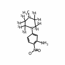 [2H]C1([2H])N(C)C([2H])([2H])C([2H])([2H])N(c2ccc([N+](=O)[O-])c(N)c2)C1([2H])[2H]